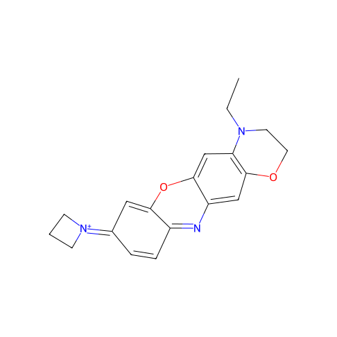 CCN1CCOc2cc3nc4ccc(=[N+]5CCC5)cc-4oc3cc21